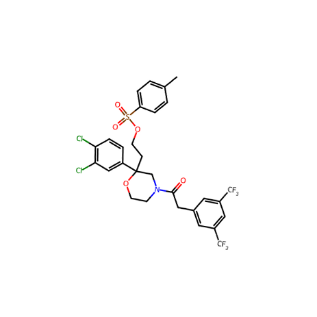 Cc1ccc(S(=O)(=O)OCCC2(c3ccc(Cl)c(Cl)c3)CN(C(=O)Cc3cc(C(F)(F)F)cc(C(F)(F)F)c3)CCO2)cc1